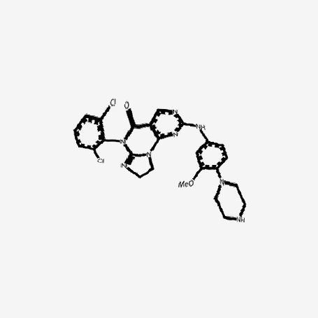 COc1cc(Nc2ncc3c(n2)N2CCN=C2N(c2c(Cl)cccc2Cl)C3=O)ccc1N1CCNCC1